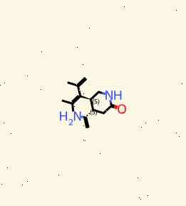 C=C(C)C(=C(C)C)[C@H]1CNC(=O)C[C@@H]1C(=C)N